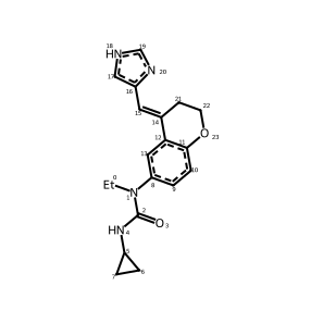 CCN(C(=O)NC1CC1)c1ccc2c(c1)/C(=C/c1c[nH]cn1)CCO2